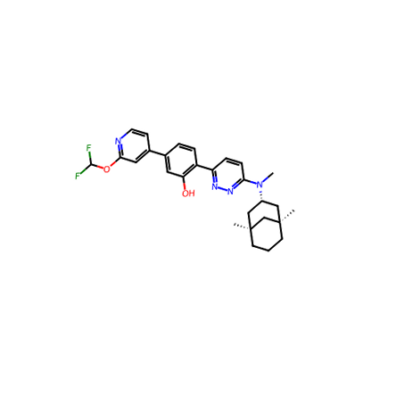 CN(c1ccc(-c2ccc(-c3ccnc(OC(F)F)c3)cc2O)nn1)[C@H]1C[C@]2(C)CCC[C@](C)(C1)C2